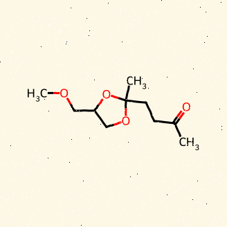 COCC1COC(C)(CCC(C)=O)O1